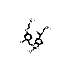 CCOC(=O)c1ccc2nc(C)n(Cc3ccc(OCCOC)cc3Cl)c2c1